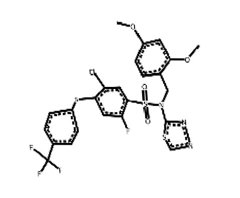 COc1ccc(CN(c2nncs2)S(=O)(=O)c2cc(Cl)c(Sc3ccc(C(F)(F)F)cc3)cc2F)c(OC)c1